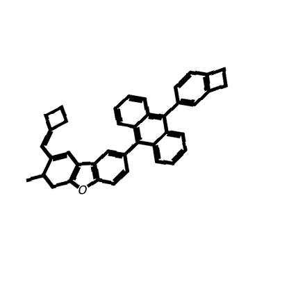 CC1Cc2oc3ccc(-c4c5ccccc5c(-c5ccc6c(c5)CC6)c5ccccc45)cc3c2C=C1C=C1CCC1